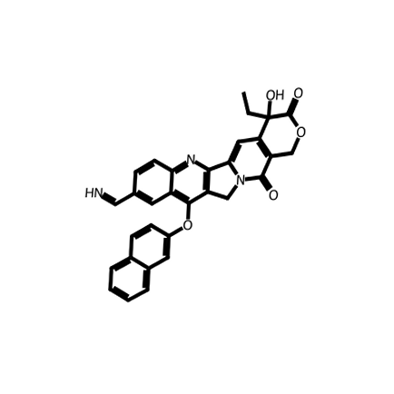 CCC1(O)C(=O)OCc2c1cc1n(c2=O)Cc2c-1nc1ccc(C=N)cc1c2Oc1ccc2ccccc2c1